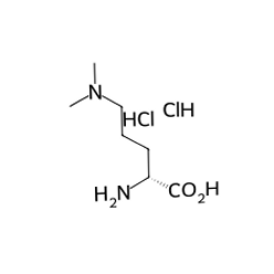 CN(C)CCC[C@@H](N)C(=O)O.Cl.Cl